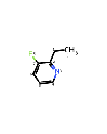 C[CH]c1ncccc1F